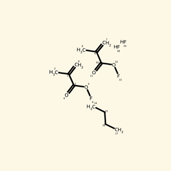 C=C(C)C(=O)OF.C=C(C)C(=O)OF.CCCC.F.F